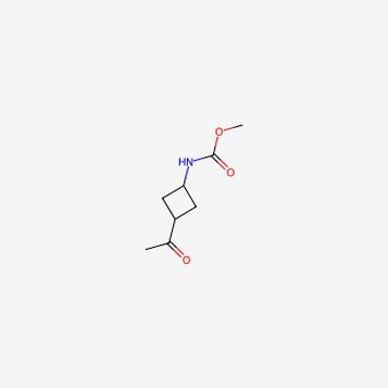 COC(=O)NC1CC(C(C)=O)C1